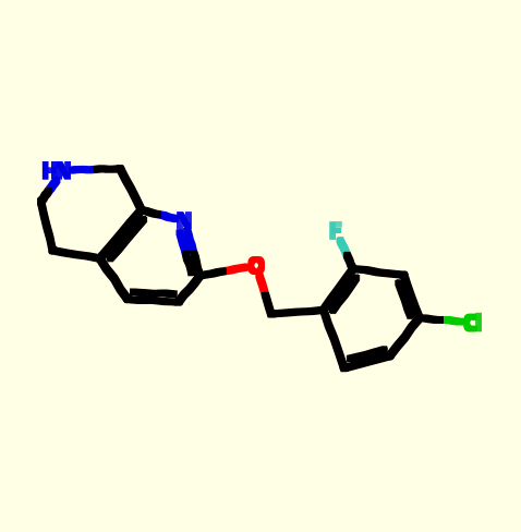 Fc1cc(Cl)ccc1COc1ccc2c(n1)CNCC2